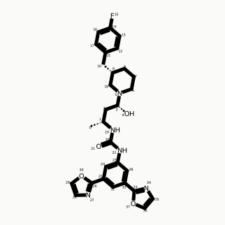 C[C@H](C[C@@H](O)N1CCC[C@@H](Cc2ccc(F)cc2)C1)NC(=O)Nc1cc(-c2ncco2)cc(-c2ncco2)c1